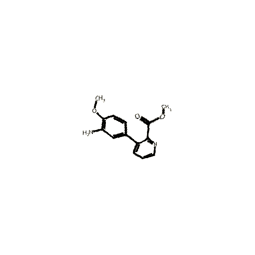 COC(=O)c1ncccc1-c1ccc(OC)c(N)c1